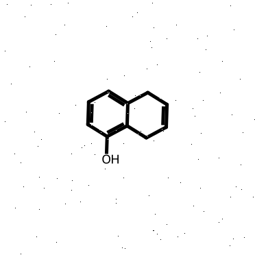 Oc1cccc2c1CC=CC2